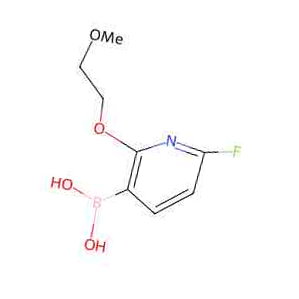 COCCOc1nc(F)ccc1B(O)O